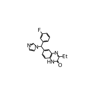 CCc1nc2cc(C(c3cccc(F)c3)n3ccnc3)ccc2[nH]c1=O